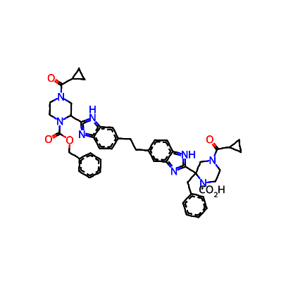 O=C(C1CC1)N1CCN(C(=O)OCc2ccccc2)C(c2nc3ccc(CCc4ccc5[nH]c(C6(Cc7ccccc7)CN(C(=O)C7CC7)CCN6C(=O)O)nc5c4)cc3[nH]2)C1